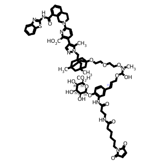 Cc1c(-c2ccc(N3CCc4cccc(C(=O)Nc5nc6ccccc6s5)c4C3)nc2C(=O)O)cnn1CC12CC3(C)CC(C)(C1)CC(OCCOCCON(C)C(O)OC/C=C/c1ccc(O[C@@H]4O[C@H](C(=O)O)[C@H](O)[C@H](O)[C@@H]4O)c(NC(=O)CCNC(=O)CCCCCN4C(=O)C=CC4=O)c1)(C3)C2